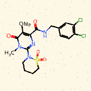 COc1c(C(=O)NCc2ccc(Cl)c(Cl)c2)nc(N2CCCCS2(=O)=O)n(C)c1=O